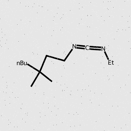 CCCCC(C)(C)CCN=C=NCC